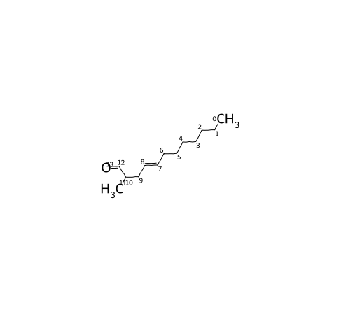 CCCCCCCC=CCC(C)C=O